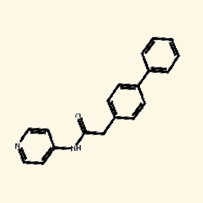 O=C(Cc1ccc(-c2ccccc2)cc1)Nc1ccncc1